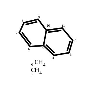 C.C.c1ccc2ccccc2c1